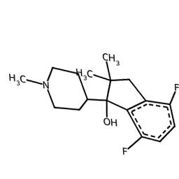 CN1CCC(C2(O)c3c(F)ccc(F)c3CC2(C)C)CC1